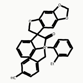 [CH]c1ccc(C[N+]2(c3ccccc3CC)C(=O)C3(COc4cc5c(cc43)OCO5)c3ccccc32)cc1